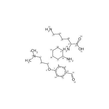 CN(C)CCCOc1ccc(C=O)cc1.NC1CCCCC1.NCCCCC(N)C(=O)O